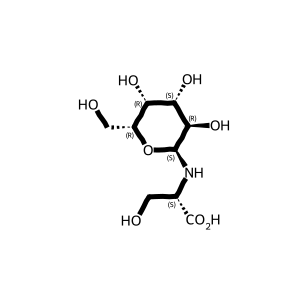 O=C(O)[C@H](CO)N[C@H]1O[C@H](CO)[C@H](O)[C@H](O)[C@H]1O